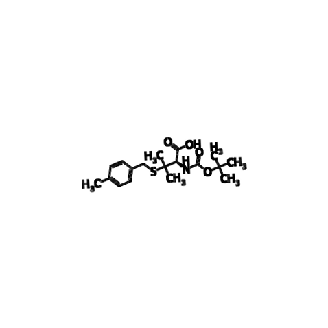 Cc1ccc(CSC(C)(C)[C@H](NC(=O)OC(C)(C)C)C(=O)O)cc1